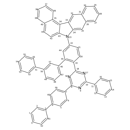 c1ccc(-c2ccc(-c3nc(-c4ccccc4)nc(-c4ccc(-n5c6cc7ccccc7cc6c6c7ccccc7ccc65)cc4-c4cccc(-c5ccccc5)c4)n3)cc2)cc1